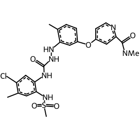 CNC(=O)c1cc(Oc2ccc(C)c(NNC(=O)Nc3cc(Cl)c(C)cc3NS(C)(=O)=O)c2)ccn1